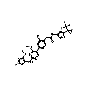 COc1nn(C)cc1Nc1ncc(-c2ccc(CC(=O)Nc3cc(C4(C(F)(F)F)CC4)on3)c(F)c2)c(OC)n1